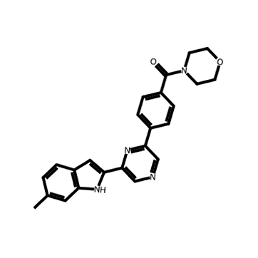 Cc1ccc2cc(-c3cncc(-c4ccc(C(=O)N5CCOCC5)cc4)n3)[nH]c2c1